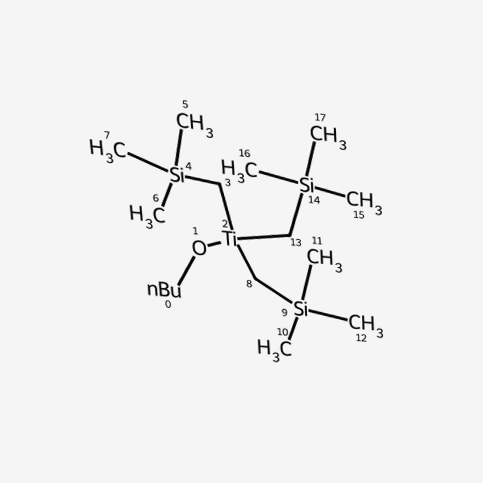 CCCC[O][Ti]([CH2][Si](C)(C)C)([CH2][Si](C)(C)C)[CH2][Si](C)(C)C